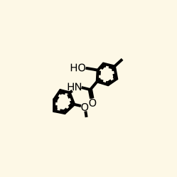 COc1ccccc1NC(=O)c1ccc(C)cc1O